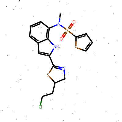 CN(c1cccc2cc(C3=NCC(CCCl)S3)[nH]c12)S(=O)(=O)c1cccs1